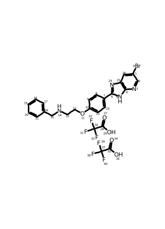 Brc1cnc2[nH]c(-c3ccc(OCCNCc4ccccc4)cc3)nc2c1.O=C(O)C(F)(F)F.O=C(O)C(F)(F)F